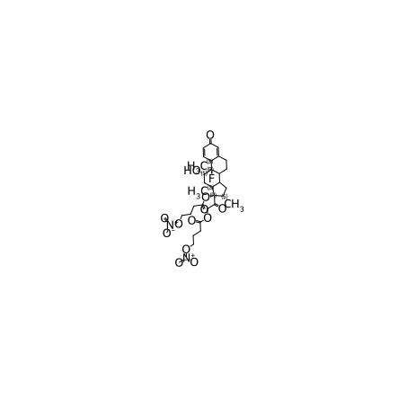 C[C@H]1CC2C3CCC4=CC(=O)C=C[C@]4(C)[C@@]3(F)[C@@H](O)C[C@]2(C)[C@@]1(OC(=O)CCCO[N+](=O)[O-])C(=O)COC(=O)CCCO[N+](=O)[O-]